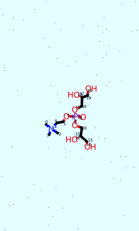 C[N+](C)(C)CCOP(=O)(OC[C@@H](O)CO)OC[C@@H](O)CO